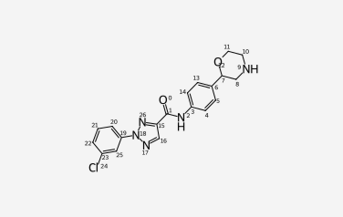 O=C(Nc1ccc(C2CNCCO2)cc1)c1cnn(-c2cccc(Cl)c2)n1